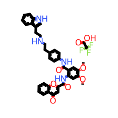 COc1cc(NC(=O)c2cc(=O)c3ccccc3o2)c(C(=O)Nc2ccc(CCNCCc3c[nH]c4ccccc34)cc2)cc1OC.O=C(O)C(F)(F)F